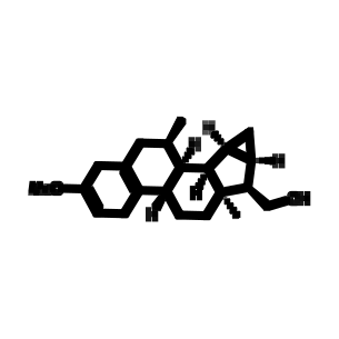 COC1=CCC2=C(C1)C[C@@H](C)[C@H]1[C@H]3[C@H]4C[C@H]4[C@@H](CO)[C@@]3(C)CC[C@H]21